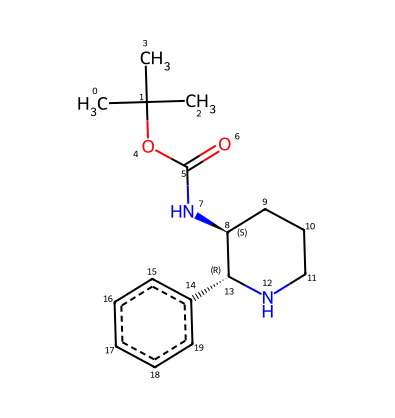 CC(C)(C)OC(=O)N[C@H]1CCCN[C@@H]1c1ccccc1